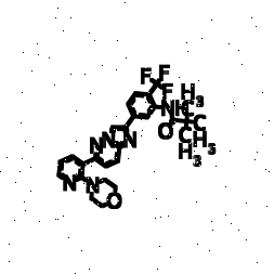 CC(C)(C)C(=O)Nc1cc(-c2cn3nc(-c4cccnc4N4CCOCC4)ccc3n2)ccc1C(F)(F)F